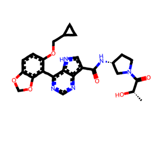 C[C@H](O)C(=O)N1CC[C@@H](NC(=O)c2c[nH]c3c(-c4c(OCC5CC5)ccc5c4OCO5)ncnc23)C1